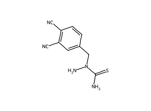 N#Cc1ccc(CN(N)C(N)=S)cc1C#N